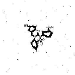 CSc1cccc(N2C(=O)N(Cc3cccc(Br)c3)c3ccccc3S2(=O)=O)c1